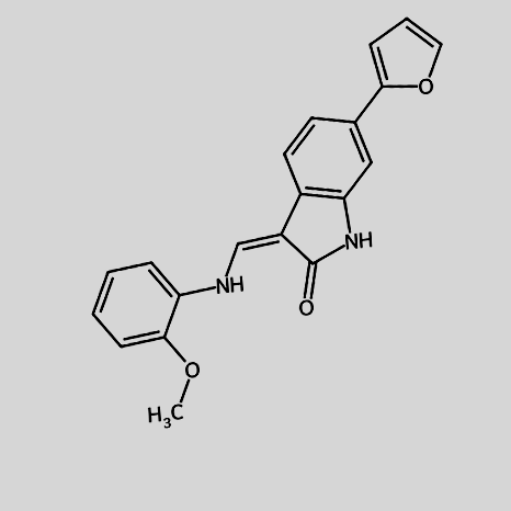 COc1ccccc1NC=C1C(=O)Nc2cc(-c3ccco3)ccc21